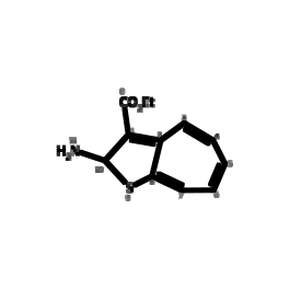 CCOC(=O)C1=C2C=CC=CC=C2SC1N